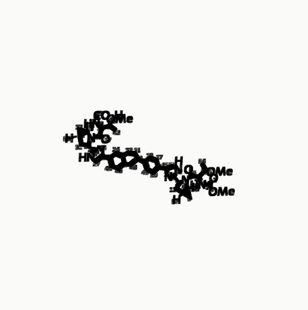 COC(=O)NC(C(=O)N1[C@@H]2C[C@@H]2C[C@H]1c1nc(-c2ccc(-c3ccc4cc(-c5c[nH]c([C@@H]6C[C@H]7C[C@H]7N6C(=O)C(NC(=O)O)C(C)OC)n5)ccc4c3)cc2)c[nH]1)C(C)OC